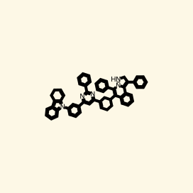 C1=Cc2c(c3ccccc3n2-c2cccc(-c3cc(C4=CCCC(C5=C(c6ccccc6)N6NCC(c7ccccc7)=C6c6ccccc65)C4)nc(-c4ccccc4)n3)c2)CC1